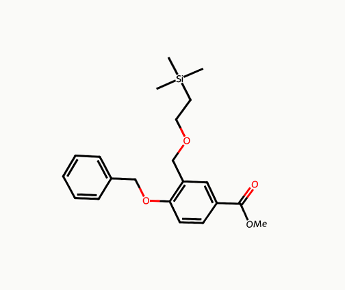 COC(=O)c1ccc(OCc2ccccc2)c(COCC[Si](C)(C)C)c1